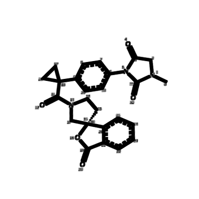 CN1CC(=O)N(c2ccc(C3(C(=O)N4CC[C@@]5(C4)OC(=O)c4ccccc45)CC3)cc2)C1=O